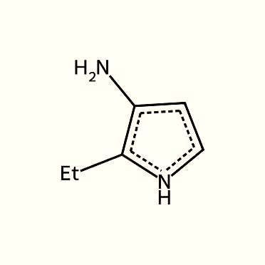 CCc1[nH]ccc1N